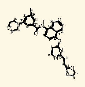 O=C(Nc1ccc(Oc2ccnc(CCC3OCCO3)n2)c2ccccc12)c1cc(F)cc(N2CCOCC2)c1